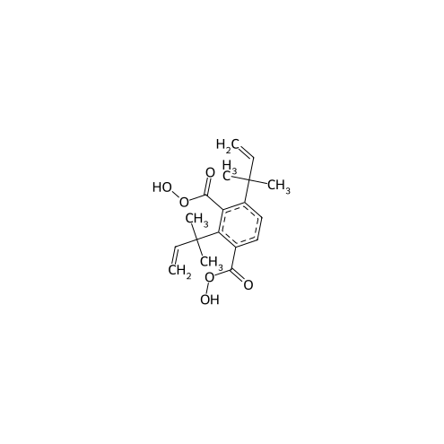 C=CC(C)(C)c1ccc(C(=O)OO)c(C(C)(C)C=C)c1C(=O)OO